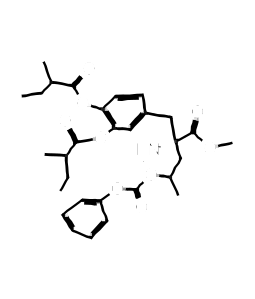 CCC(C)C(=O)Oc1ccc(C[C@](N)(CC(C)OC(=O)Oc2ccccc2)C(=O)OC)cc1OC(=O)C(C)CC